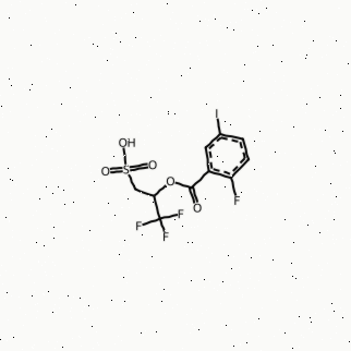 O=C(OC(CS(=O)(=O)O)C(F)(F)F)c1cc(I)ccc1F